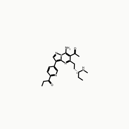 CCC(=O)c1ccc(-c2cnn3c(N)c(C(C)=O)c(CC[C@@H](CC)NC)nc23)cn1